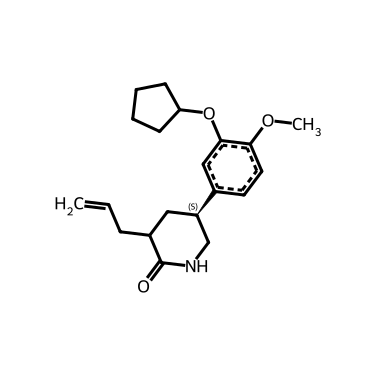 C=CCC1C[C@@H](c2ccc(OC)c(OC3CCCC3)c2)CNC1=O